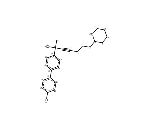 CC(O)(C#CCCOC1CCCCO1)c1ccc(-c2ccc(Cl)cc2)cc1